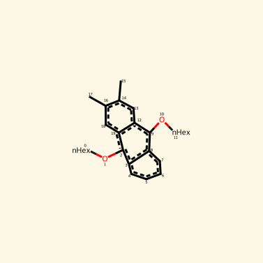 CCCCCCOc1c2ccccc2c(OCCCCCC)c2cc(C)c(C)cc12